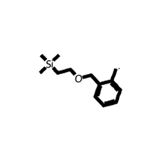 [CH2]c1ccccc1COCC[Si](C)(C)C